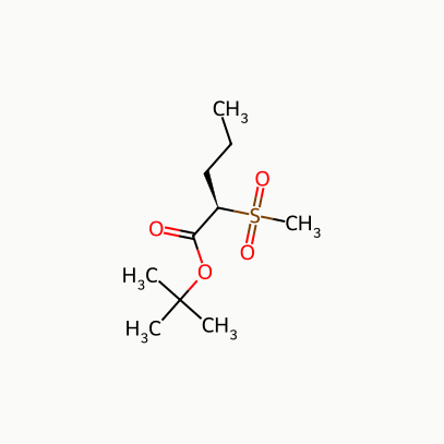 CCC[C@H](C(=O)OC(C)(C)C)S(C)(=O)=O